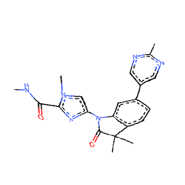 CNC(=O)c1nc(N2C(=O)C(C)(C)c3ccc(-c4cnc(C)nc4)cc32)cn1C